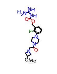 COC1CN(CC(=O)N2CCN(c3cccc(COC(=O)NC(=N)N)c3F)CC2)C1